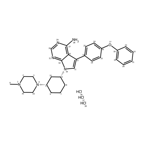 CN1CCN([C@H]2CCC[C@@H](n3cc(-c4ccc(Oc5ccccc5)cc4)c4c(N)ncnc43)C2)CC1.Cl.Cl.Cl